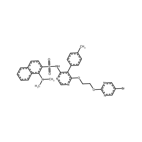 Cc1ccc(-c2c(NS(=O)(=O)c3ccc4ccccc4c3N(C)C)ncnc2OCCOc2ncc(Br)cn2)cc1